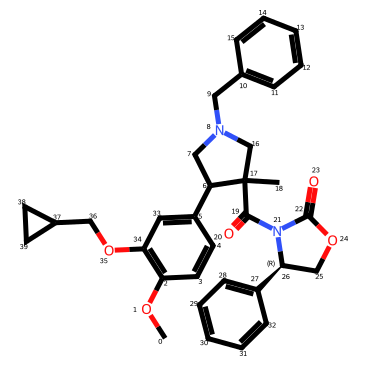 COc1ccc(C2CN(Cc3ccccc3)CC2(C)C(=O)N2C(=O)OC[C@H]2c2ccccc2)cc1OCC1CC1